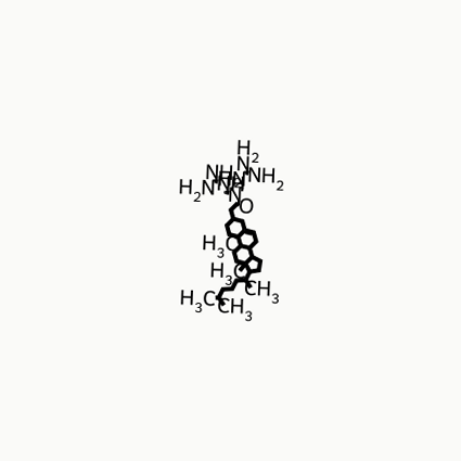 CC(C)CCCC(C)C1CCC2C3CC=C4CC(CC(=O)N(CNC(N)N)CNC(N)N)CCC4(C)C3CCC12C